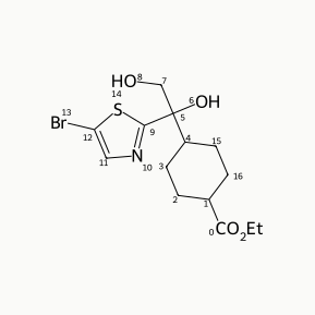 CCOC(=O)C1CCC(C(O)(CO)c2ncc(Br)s2)CC1